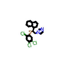 Clc1cc(Cl)c(SC(Cn2ccnc2)c2cccc3ccccc23)cc1Cl